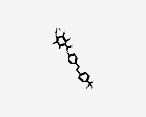 COc1c(F)c(F)c(C(=O)Oc2ccc(CCc3ccc(C(F)(F)F)cc3)cc2)c(F)c1F